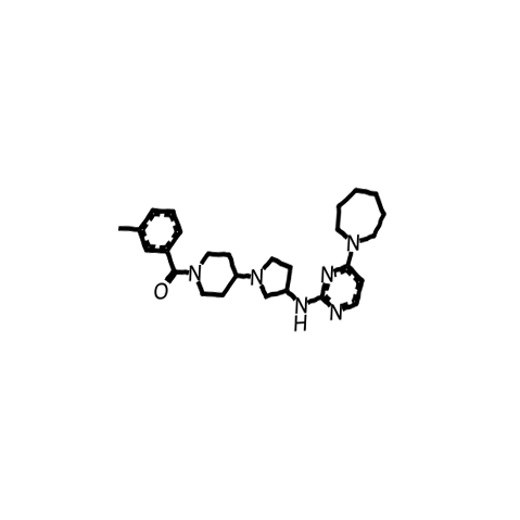 Cc1cccc(C(=O)N2CCC(N3CCC(Nc4nccc(N5CCCCCC5)n4)C3)CC2)c1